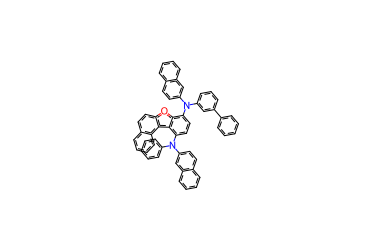 c1ccc(-c2cccc(N(c3ccc4ccccc4c3)c3ccc(N(c4ccccc4)c4ccc5ccccc5c4)c4c3oc3ccc5ccccc5c34)c2)cc1